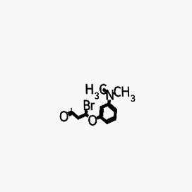 CN(C)c1cccc(OC(Br)C[C]=O)c1